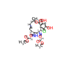 COC(=O)CO/N=C1/Cc2c(Cl)c(O)cc(O)c2C(=O)OC(C)C/C=C/CCC(NOCC(=O)OC)C1